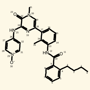 CCCCc1ccccc1C(=O)Nc1cccc(-c2cn(C)c(=O)c(Nc3cc[n+]([O-])cc3)n2)c1C